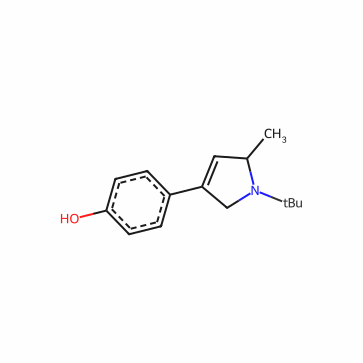 CC1C=C(c2ccc(O)cc2)CN1C(C)(C)C